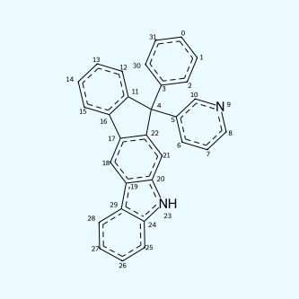 c1ccc(C2(c3cccnc3)c3ccccc3-c3cc4c(cc32)[nH]c2ccccc24)cc1